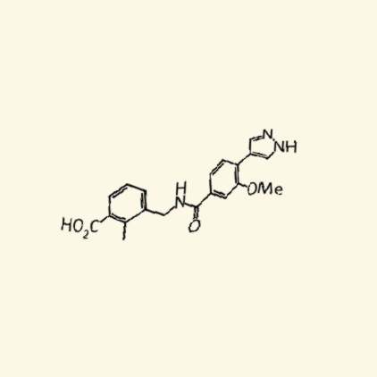 COc1cc(C(=O)NCc2cccc(C(=O)O)c2C)ccc1-c1cn[nH]c1